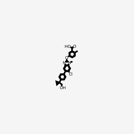 Cc1ccc(Oc2nc3cc(-c4ccc(C5(CO)CC5)cc4)c(Cl)cc3n2C)cc1C(=O)O